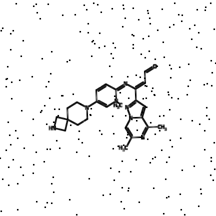 Cc1cn2nc(C(=C/C=O)/N=c3/ccc(N4CCC5(CC4)CNC5)cn3C)cc2c(C)n1